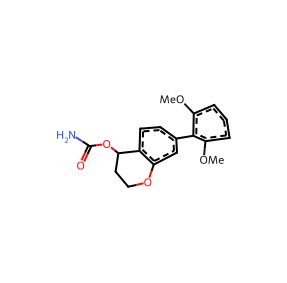 COc1cccc(OC)c1-c1ccc2c(c1)OCCC2OC(N)=O